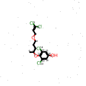 CC(CCCOCC=C(Cl)Cl)Oc1c(Cl)cc(O)cc1Cl